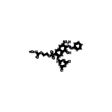 CCCCCCCCC(=O)OCCOS(=O)(=O)c1cc2cc(S(=O)(=O)O)c(/N=N/c3ccccc3)c(O)c2cc1Nc1nc(Cl)nc(Cl)n1